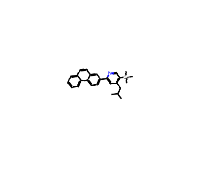 CC(C)Cc1cc(-c2ccc3c(ccc4ccccc43)c2)nc[c]1[Ge]([CH3])([CH3])[CH3]